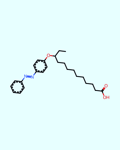 CCC(CCCCCCCCCC(=O)O)Oc1ccc(N=Nc2ccccc2)cc1